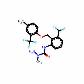 Cc1ccc(OCc2c(NC(=O)N(C)N)cccc2C(F)F)c(C(F)(F)F)c1